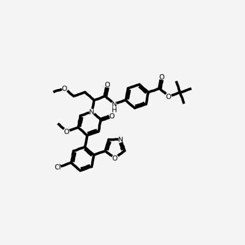 COCCC(C(=O)Nc1ccc(C(=O)OC(C)(C)C)cc1)n1cc(OC)c(-c2cc(Cl)ccc2-c2cnco2)cc1=O